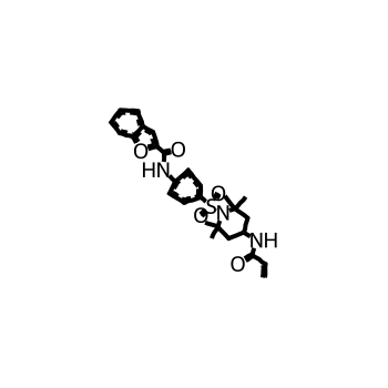 C=CC(=O)NC1CC(C)(C)N(S(=O)(=O)c2ccc(NC(=O)c3cc4ccccc4o3)cc2)C(C)(C)C1